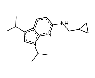 CC(C)c1cn(C(C)C)c2nc(NCC3CC3)ccc12